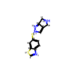 c1nc2ccc(Sn3cc4c(n3)CNC4)cc2s1